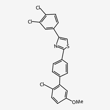 COc1ccc(Cl)c(-c2ccc(-c3nc(-c4ccc(Cl)c(Cl)c4)cs3)cc2)c1